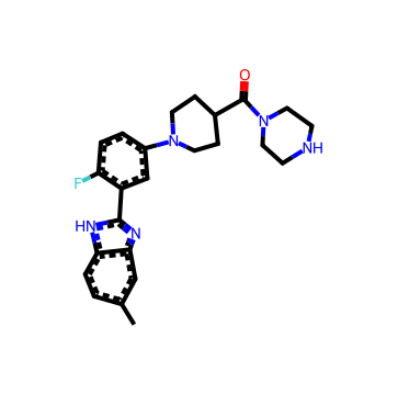 Cc1ccc2[nH]c(-c3cc(N4CCC(C(=O)N5CCNCC5)CC4)ccc3F)nc2c1